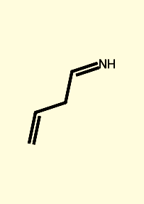 C=CCC=N